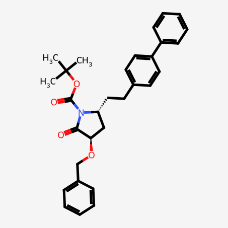 CC(C)(C)OC(=O)N1C(=O)[C@H](OCc2ccccc2)C[C@H]1CCc1ccc(-c2ccccc2)cc1